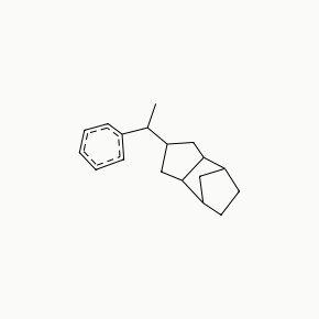 CC(c1ccccc1)C1CC2C3CCC(C3)C2C1